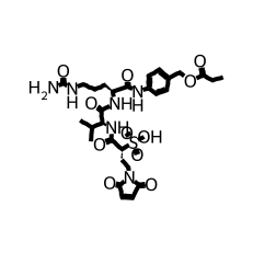 CCC(=O)OCc1ccc(NC(=O)[C@H](CCCNC(N)=O)NC(=O)[C@@H](NC(=O)[C@@H](CCN2C(=O)C=CC2=O)S(=O)(=O)O)C(C)C)cc1